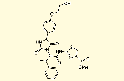 COC(=O)c1csc(NC(=O)C(C(C)c2ccccc2)N2C(=O)NC(c3ccc(OCCO)cc3)C2=O)n1